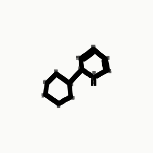 C1=CN[C](C2CCCCC2)C=C1